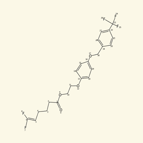 O=C(CCCC=C(F)F)OCCOc1ccc(OCc2ccc(C(F)(F)F)cc2)cc1